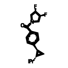 CC(C)[C@H]1C[C@@H]1c1ccc(C(=O)N2C[C@@H](F)[C@@H](F)C2)cc1